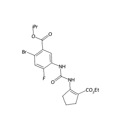 CCOC(=O)C1=C(NC(=O)Nc2cc(C(=O)OC(C)C)c(Br)cc2F)CCC1